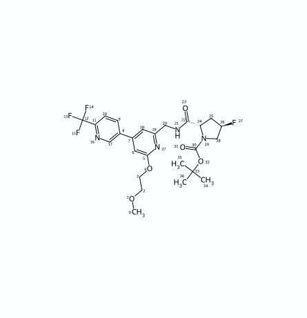 COCCOc1cc(-c2ccc(C(F)(F)F)nc2)cc(CNC(=O)[C@@H]2C[C@@H](F)CN2C(=O)OC(C)(C)C)n1